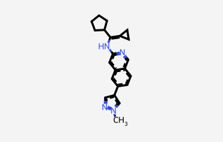 Cn1cc(-c2ccc3cnc(NC(=C4CC4)C4CCCC4)cc3c2)cn1